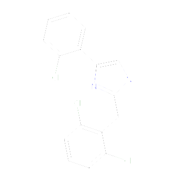 Clc1ccccc1-c1c[nH]c(Cc2c(Cl)cccc2Cl)n1